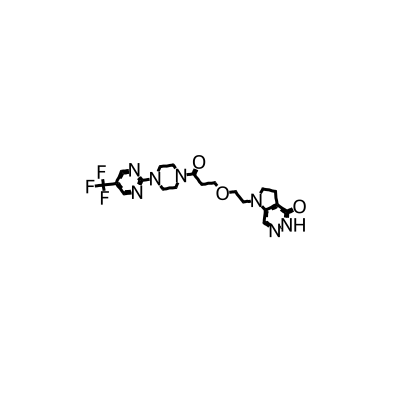 O=C(CCOCCN1CCc2c1cn[nH]c2=O)N1CCN(c2ncc(C(F)(F)F)cn2)CC1